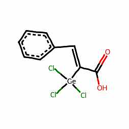 O=C(O)[C](=Cc1ccccc1)[Ge]([Cl])([Cl])[Cl]